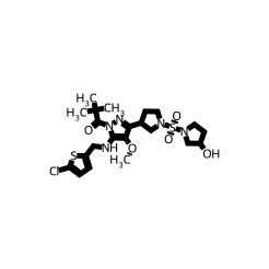 COc1c(C2CCN(S(=O)(=O)N3CCC(O)C3)C2)nn(C(=O)C(C)(C)C)c1NCc1ccc(Cl)s1